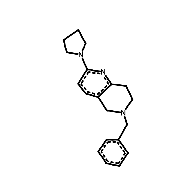 c1ccc(CN2CCc3nc(N4CCCC4)ccc3C2)cc1